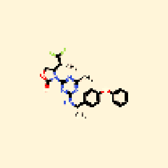 Cc1nc(N[C@@H](C)c2ccc(Oc3ccccc3)cc2)nc(N2C(=O)OC[C@H]2[C@@H](C)C(F)F)n1